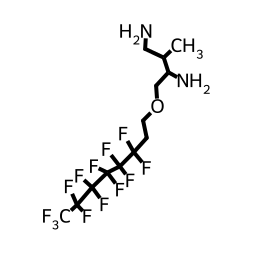 CC(CN)C(N)COCCC(F)(F)C(F)(F)C(F)(F)C(F)(F)C(F)(F)C(F)(F)F